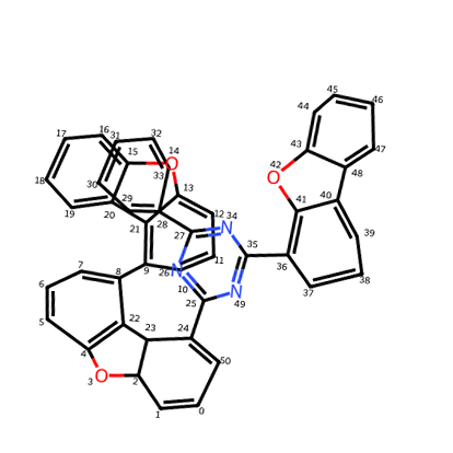 C1=CC2Oc3cccc(-c4cccc5oc6ccccc6c45)c3C2C(c2nc(-c3ccccc3)nc(-c3cccc4c3oc3ccccc34)n2)=C1